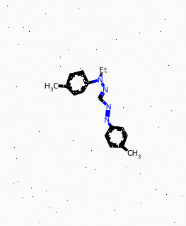 CCN(N=[C]N=Nc1ccc(C)cc1)c1ccc(C)cc1